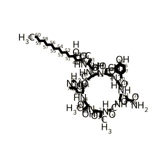 C/C=C1\NC(=O)CNC(=O)[C@@H](CCC(N)=O)NC(=O)[C@@H](Cc2ccc(O)cc2)NC(=O)[C@@H]([C@@H](C)O)NC(=O)[C@@H](NC(=O)/C(=C/C)NC(=O)C[C@H](O)CCCCCCCCCCC)[C@@H](C)OC(=O)[C@H](Cc2cnc[nH]2)NC(=O)[C@H]([C@H](C)O)NC1=O